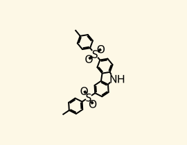 Cc1ccc(S(=O)(=O)c2ccc3[nH]c4ccc(S(=O)(=O)c5ccc(C)cc5)cc4c3c2)cc1